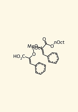 CCCCCCCCOC(=Cc1ccccc1)C(=O)O.CCCCCCCCOC(=O)C(=Cc1ccccc1)OC